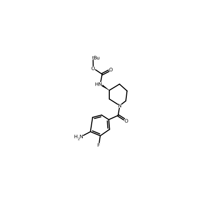 CC(C)(C)OC(=O)N[C@H]1CCCN(C(=O)c2ccc(N)c(F)c2)C1